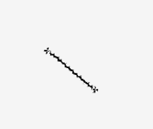 C[Si](C)(C)OCCCCCCCCCCCCCCCCCCCCCCO[Si](C)(C)C